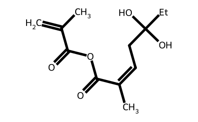 C=C(C)C(=O)OC(=O)C(C)=CCC(O)(O)CC